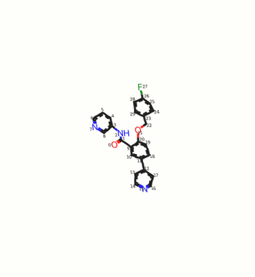 O=C(Nc1cccnc1)c1cc(-c2ccncc2)ccc1OCc1ccc(F)cc1